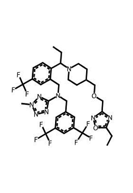 CCc1nc(COCC2CCN(C(CC)c3ccc(C(F)(F)F)cc3CN(Cc3cc(C(F)(F)F)cc(C(F)(F)F)c3)c3nnn(C)n3)CC2)no1